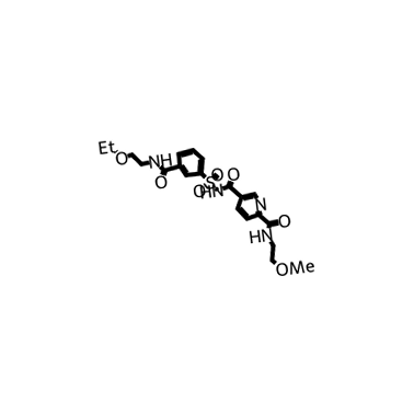 CCOCCNC(=O)c1cccc(S(=O)(=O)NC(=O)c2ccc(C(=O)NCCOC)nc2)c1